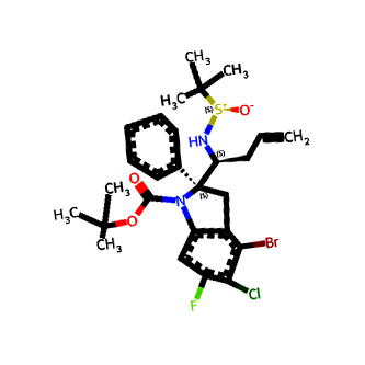 C=CC[C@H](N[S@+]([O-])C(C)(C)C)[C@@]1(c2ccccc2)Cc2c(cc(F)c(Cl)c2Br)N1C(=O)OC(C)(C)C